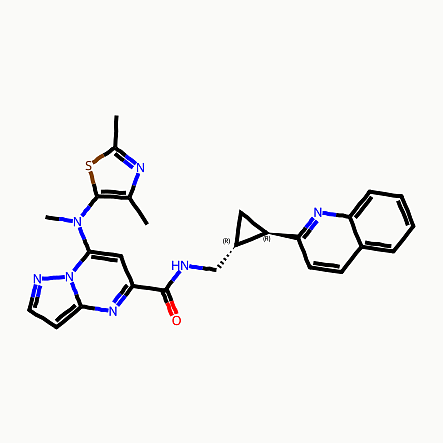 Cc1nc(C)c(N(C)c2cc(C(=O)NC[C@@H]3C[C@H]3c3ccc4ccccc4n3)nc3ccnn23)s1